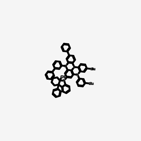 CC(C)(C)c1cccc(N2c3cc(C(C)(C)C)ccc3B3c4ccc(-c5ccccc5)cc4N(c4cccc(-c5ccccc5)c4)c4cc(N5c6ccccc6C6(c7ccccc7)CCCCC56C)cc2c43)c1